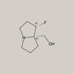 OC[C@]12CCCN1CC[C@@H]2F